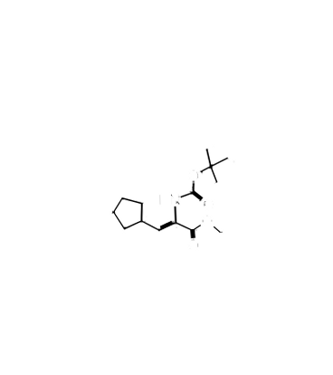 COC(=O)/C(=C/C1CCCC1)NC(=O)OC(C)(C)C